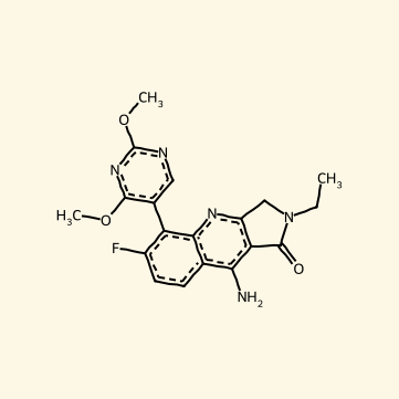 CCN1Cc2nc3c(-c4cnc(OC)nc4OC)c(F)ccc3c(N)c2C1=O